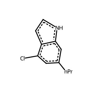 CCCc1cc(Cl)c2cc[nH]c2c1